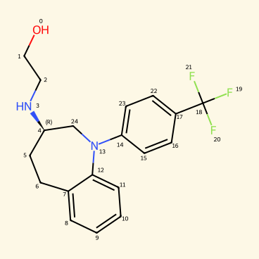 OCCN[C@@H]1CCc2ccccc2N(c2ccc(C(F)(F)F)cc2)C1